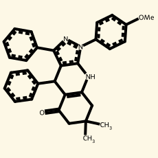 COc1ccc(-n2nc(-c3ccccc3)c3c2NC2=C(C(=O)CC(C)(C)C2)C3c2ccccc2)cc1